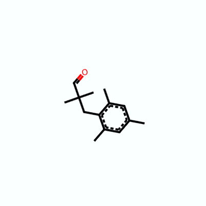 Cc1cc(C)c(CC(C)(C)C=O)c(C)c1